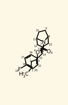 CCCCOC(=O)N1C2CCC1CC(=Cc1ccc(F)cc1)C2